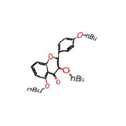 CCCCOc1ccc(-c2oc3cccc(OCCCC)c3c(=O)c2OCCCC)cc1